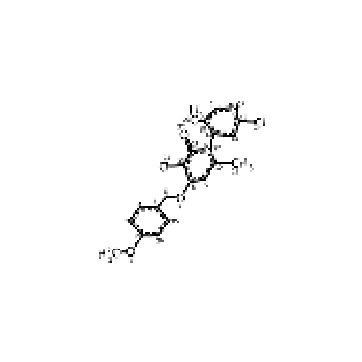 COc1ccc(COc2cc(C)n(-c3cc(Cl)ncc3C)c(=O)c2Cl)cc1